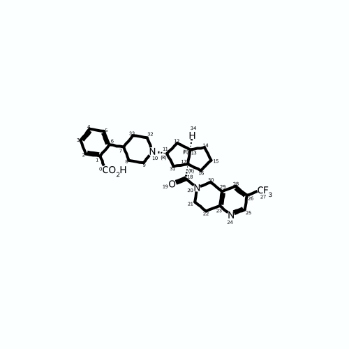 O=C(O)c1ccccc1C1CCN([C@@H]2C[C@H]3CCC[C@@]3(C(=O)N3CCc4ncc(C(F)(F)F)cc4C3)C2)CC1